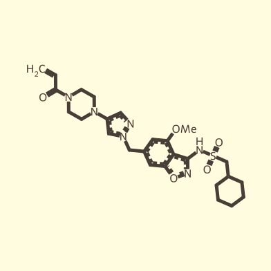 C=CC(=O)N1CCN(c2cnn(Cc3cc(OC)c4c(NS(=O)(=O)CC5CCCCC5)noc4c3)c2)CC1